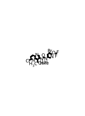 COC(C)c1c(NC(=O)Nc2cnc(OC(F)F)c(Br)c2)cnc2ccc(Cl)nc12